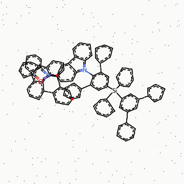 c1ccc(-c2cc(-c3ccccc3)cc([Si](c3ccccc3)(c3ccccc3)c3cc(-c4ccccc4)c(-n4c5ccccc5c5cc(-n6c7ccccc7c7cccc(-c8ccccc8-c8cccc9c8oc8ccccc89)c76)ccc54)c(-c4ccccc4)c3)c2)cc1